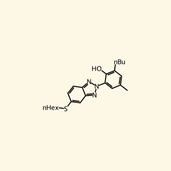 CCCCCCSc1ccc2nn(-c3cc(C)cc(CCCC)c3O)nc2c1